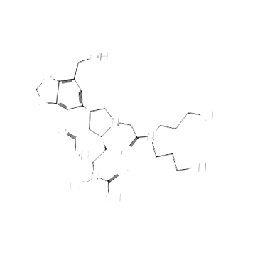 CCCCN(CCCO)C(=O)CN1C[C@H](c2cc(CO)c3c(c2)OCO3)[C@@H](C(=O)O)[C@@H]1CCN(C)C(C)=O